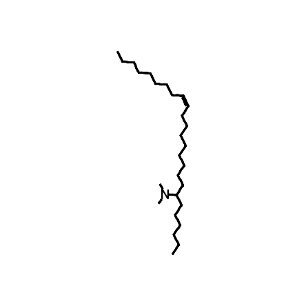 CCCCCCCC/C=C\CCCCCCCCC(CCCCCC)N(C)C